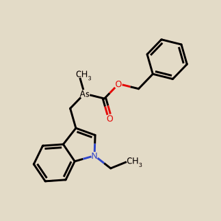 CCn1cc(C[As](C)C(=O)OCc2ccccc2)c2ccccc21